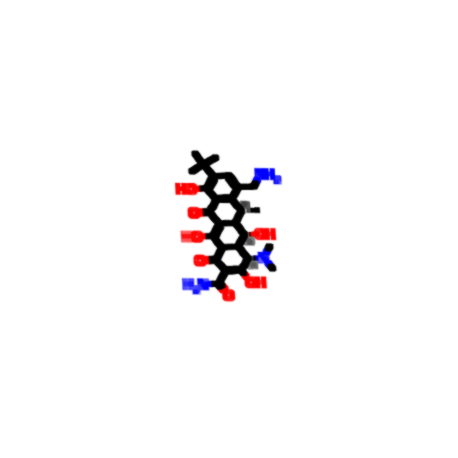 C[C@H]1c2c(CN)cc(C(C)(C)C)c(O)c2C(=O)C2=C(O)C3C(=O)C(C(N)=O)=C(O)[C@@H](N(C)C)C3[C@@H](O)C21